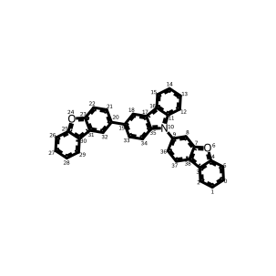 c1ccc2c(c1)oc1cc(-n3c4ccccc4c4cc(-c5ccc6oc7ccccc7c6c5)ccc43)ccc12